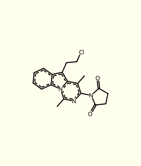 Cc1c(N2C(=O)CCC2=O)nc(C)n2c1c(CCCl)c1ccccc12